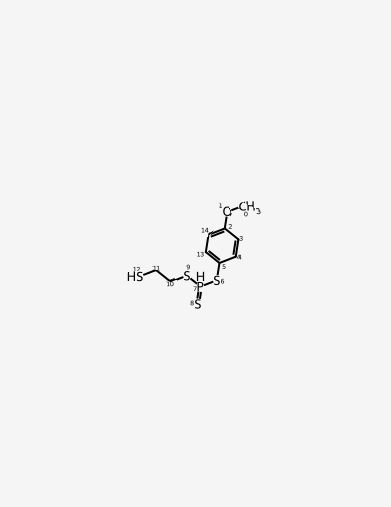 COc1ccc(S[PH](=S)SCCS)cc1